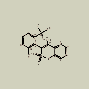 O=S1(=O)Oc2cccnc2C(O)=C1c1c(Cl)cccc1C(F)(F)F